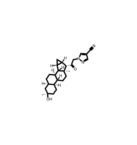 C[C@@]1(O)CC[C@H]2[C@H](CC[C@@H]3[C@@H]2CC[C@@]2(C)[C@H]3[C@@H]3C[C@@H]3[C@@H]2C(=O)Cn2cc(C#N)cn2)C1